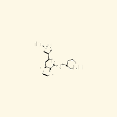 CC(C)n1cc(-c2cc3nccnc3c(NCC3(F)CCCNC3)n2)cn1